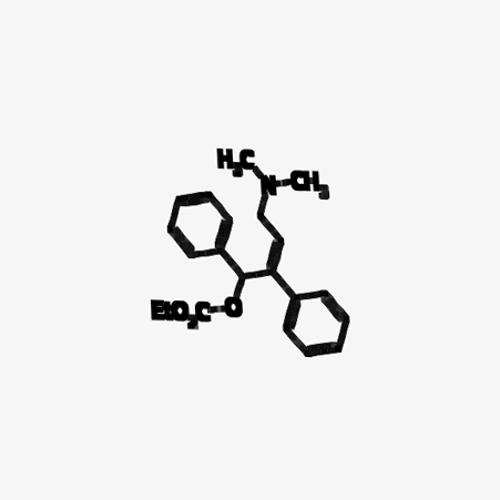 CCOC(=O)OC(C(=CCN(C)C)c1ccccc1)c1ccccc1